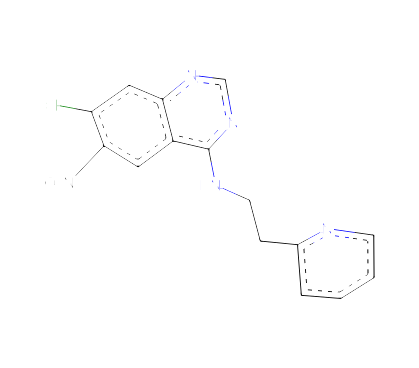 O=[N+]([O-])c1cc2c(NCCc3ccccn3)ncnc2cc1Cl